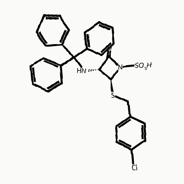 O=C1[C@@H](NC(c2ccccc2)(c2ccccc2)c2ccccc2)[C@H](SCc2ccc(Cl)cc2)N1S(=O)(=O)O